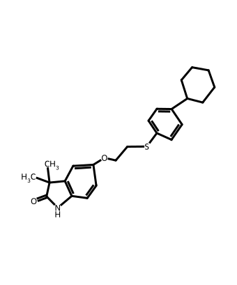 CC1(C)C(=O)Nc2ccc(OCCSc3ccc(C4CCCCC4)cc3)cc21